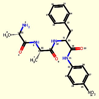 C[C@H](N)C(=O)N[C@@H](C)C(=O)N[C@@H](Cc1ccccc1)C(=O)Nc1ccc([N+](=O)[O-])cc1